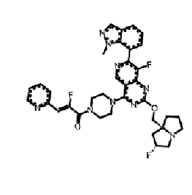 Cn1ncc2cccc(-c3ncc4c(N5CCN(C(=O)/C(F)=C/c6ccccn6)CC5)nc(OC[C@@]56CCCN5C[C@H](F)C6)nc4c3F)c21